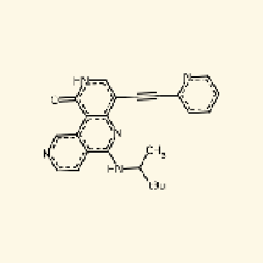 CC(Nc1nc2c(C#Cc3ccccn3)c[nH]c(=O)c2c2cnccc12)C(C)(C)C